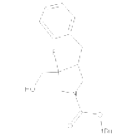 CC(C)(C)OC(=O)N1CC(Cc2ccccc2)C(F)(CO)C1